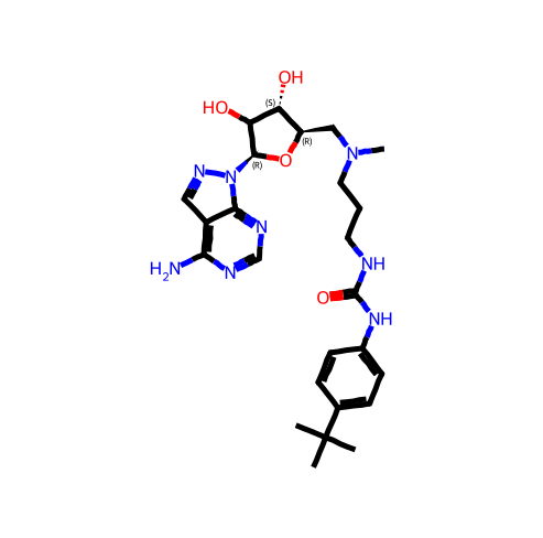 CN(CCCNC(=O)Nc1ccc(C(C)(C)C)cc1)C[C@H]1O[C@@H](n2ncc3c(N)ncnc32)C(O)[C@@H]1O